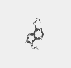 COc1ncnc2c1nnn2C